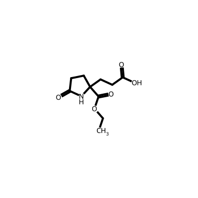 CCOC(=O)C1(CCC(=O)O)CCC(=O)N1